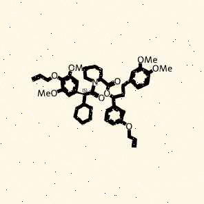 C=CCOc1cccc(C(CCc2ccc(OC)c(OC)c2)OC(=O)C2CCCCN2C(=O)[C@H](c2cc(OC)c(OCC=C)c(OC)c2)C2CCCCC2)c1